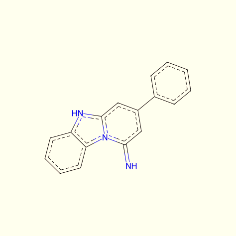 N=c1cc(-c2ccccc2)cc2[nH]c3ccccc3n12